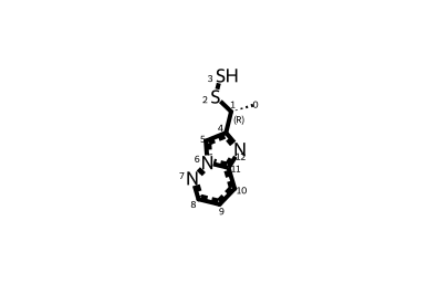 C[C@@H](SS)c1cn2ncccc2n1